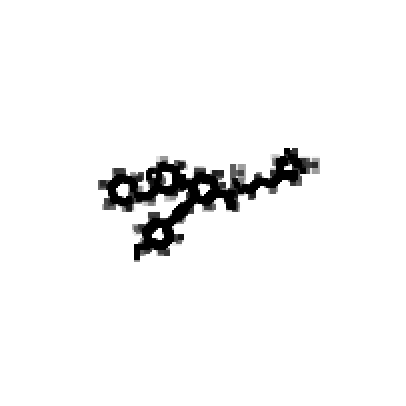 C=C(NCCCc1cn[nH]c1)c1ccc(N2CCOC(CN3CCCCC3)C2)c(C#Cc2ccc(F)cc2)c1